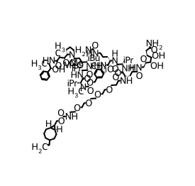 C=CC1CCC[C@H]2C(COC(=O)NCCOCCOCCOCCOCCC(=O)N[C@@H](CCC(=O)NC[C@H]3O[C@@H](CC(N)=O)[C@H](O)[C@@H]3O)C(=O)N[C@H](C(=O)N[C@@H](CCCNC(N)=O)C(=O)Nc3ccc(COC(=O)N(C)[C@H](C(=O)N[C@H](C(=O)N(C)[C@@H]([C@@H](C)CC)[C@@H](CC(=O)N4CCC[C@H]4[C@H](OC)[C@@H](C)C(=O)N[C@H](C)[C@@H](O)c4ccccc4)OC)C(C)C)C(C)C)cc3)C(C)C)[C@H]2CC1